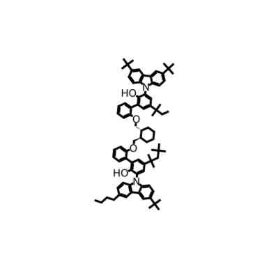 CCCCc1ccc2c(c1)c1cc(C(C)(C)C)ccc1n2-c1cc(C(C)(C)CC(C)(C)C)cc(-c2ccccc2OC[C@@H]2CCCC[C@H]2COc2ccccc2-c2cc(C(C)(C)CC)cc(-n3c4ccc(C(C)(C)C)cc4c4cc(C(C)(C)C)ccc43)c2O)c1O